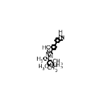 CN(c1ncc(-c2ccc(-c3ccc4[nH]ncc4c3)cc2O)nn1)C1CC(C)(C)NC(C)(C)C1